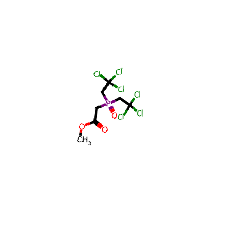 COC(=O)CP(=O)(CC(Cl)(Cl)Cl)CC(Cl)(Cl)Cl